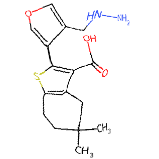 CC1(C)CCc2sc(-c3cocc3CNN)c(C(=O)O)c2C1